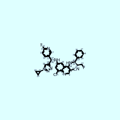 N#Cc1cnc2c(Cl)cc(N[C@@H](c3ccc(F)nc3)c3cn(C4CC4)nn3)cc2c1N[C@H](CCF)c1ccccc1